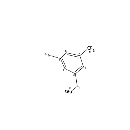 CC(C)(C)Cc1cc(F)cc(C(F)(F)F)c1